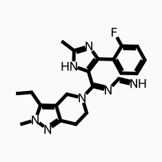 CCc1c2c(nn1C)CCN(/C(=N/C=N)c1[nH]c(C)nc1-c1ccccc1F)C2